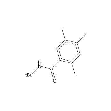 Cc1cc(C)c(C(=O)NC(C)(C)C)cc1C